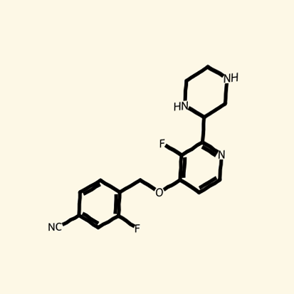 N#Cc1ccc(COc2ccnc(C3CNCCN3)c2F)c(F)c1